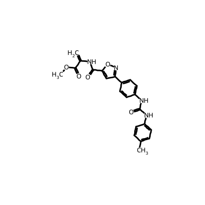 C=C(NC(=O)c1cc(-c2ccc(NC(=O)Nc3ccc(C)cc3)cc2)no1)C(=O)OC